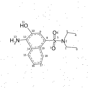 CCN(CC)S(=O)(=O)c1cc(O)c(N)c2ccccc12